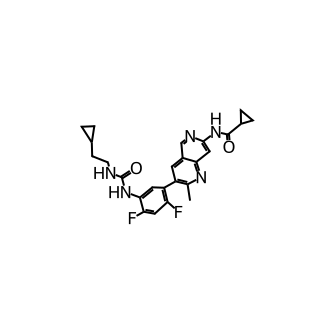 Cc1nc2cc(NC(=O)C3CC3)ncc2cc1-c1cc(NC(=O)NCCC2CC2)c(F)cc1F